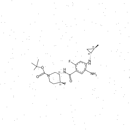 C[C@@H]1C[C@H]1Nc1cc(F)c(C(=O)N[C@H]2CN(C(=O)OC(C)(C)C)CC[C@@H]2F)cc1N